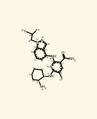 NC(=O)c1cc(F)c(N[C@@H]2CCCC[C@@H]2N)nc1Nc1cccc2c1cnn2CC(F)F